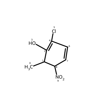 CC1C(O)=C(Cl)C=CC1[N+](=O)[O-]